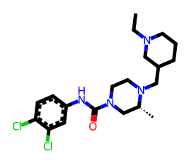 CCN1CCCC(CN2CCN(C(=O)Nc3ccc(Cl)c(Cl)c3)C[C@H]2C)C1